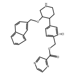 Cl.O=C(OCc1ccc(C2CCNCC2OCc2ccc3ccccc3c2)cc1)c1cnccn1